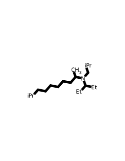 CCC(CC)N(CC(C)C)C(C)CCCCCCC(C)C